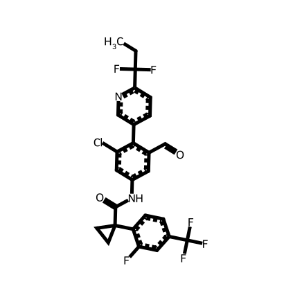 CCC(F)(F)c1ccc(-c2c(Cl)cc(NC(=O)C3(c4ccc(C(F)(F)F)cc4F)CC3)cc2C=O)cn1